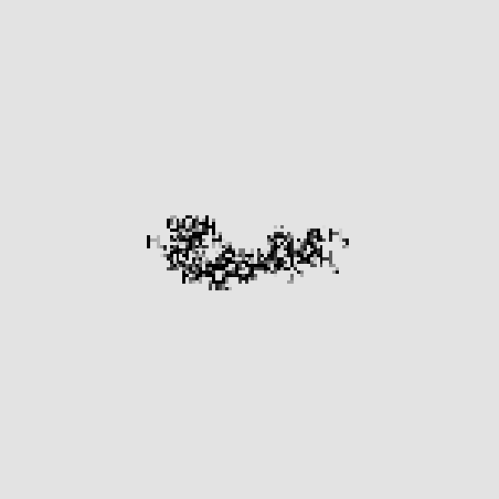 COC(=O)N[C@H](C(=O)N1CCCC1c1ncc(-c2ccc3c(c2)C2(CCC2)c2cc(-c4cnc([C@@H]5CCCN5C(=O)[C@H](C(C)C)N(C)C(=O)O)[nH]4)ccc2-3)[nH]1)C(C)C